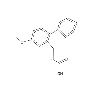 COc1ccc(-c2ccccc2)c(C=CC(=O)O)c1